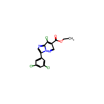 CCOC(=O)c1cnn2c(-c3cc(Cl)cc(Cl)c3)cnc2c1Cl